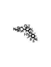 CC(Nc1ncnc2c1cc(C1CCS(=O)(=NC#N)CC1)c(=O)n2C)c1cccc(C(F)F)c1F